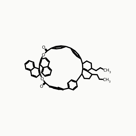 CCCC1CCC2C3=C1C(CCC)CCC3c1ccc(cc1)-c1ccc(cc1)C(=O)Oc1ccc3ccccc3c1-c1c(ccc3ccccc13)OC(=O)c1ccc(cc1)-c1ccc2cc1